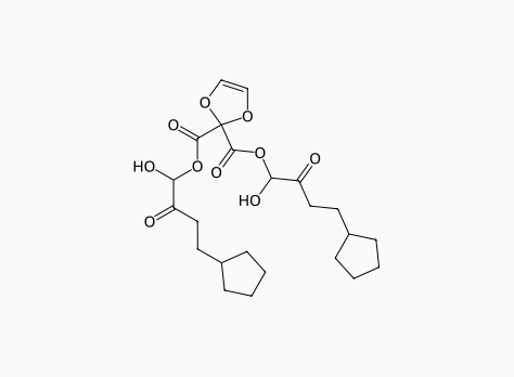 O=C(CCC1CCCC1)C(O)OC(=O)C1(C(=O)OC(O)C(=O)CCC2CCCC2)OC=CO1